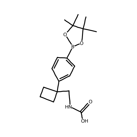 CC1(C)OB(c2ccc(C3(CNC(=O)O)CCC3)cc2)OC1(C)C